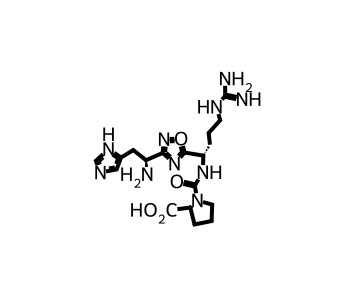 N=C(N)NCCC[C@H](NC(=O)N1CCCC1C(=O)O)c1nc([C@@H](N)Cc2cnc[nH]2)no1